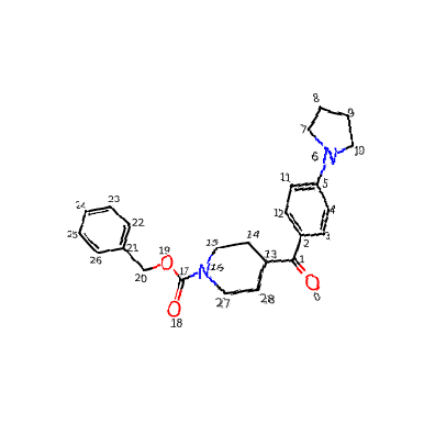 O=C(c1ccc(N2CCCC2)cc1)C1CCN(C(=O)OCc2ccccc2)CC1